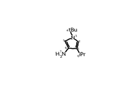 CC(C)c1cn(C(C)(C)C)cc1N